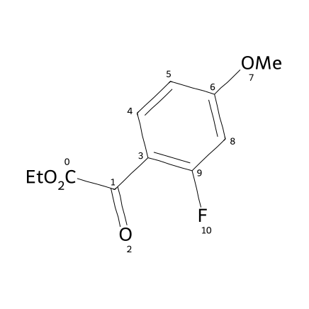 CCOC(=O)C(=O)c1ccc(OC)cc1F